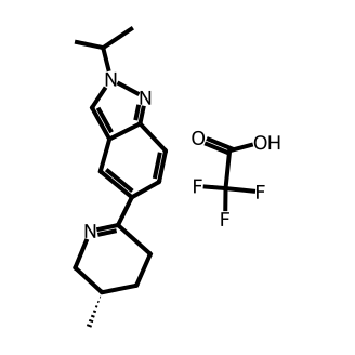 CC(C)n1cc2cc(C3=NC[C@@H](C)CC3)ccc2n1.O=C(O)C(F)(F)F